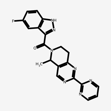 CC1c2cnc(-c3ncccn3)nc2CCN1C(=O)c1n[nH]c2ccc(F)cc12